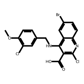 COc1ccc(CNc2c(C(=O)O)c(Cl)nc3ccc(Br)cc23)cc1Cl